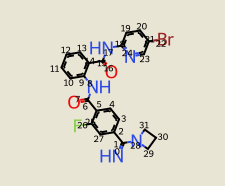 N=C(c1ccc(C(=O)Nc2ccccc2C(=O)Nc2ccc(Br)cn2)c(F)c1)N1CCC1